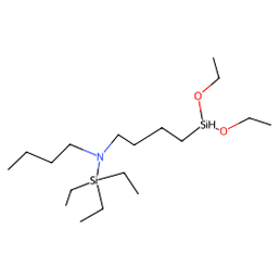 CCCCN(CCCC[SiH](OCC)OCC)[Si](CC)(CC)CC